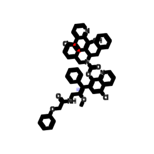 CO/C(CNC(=O)COc1ccccc1)=C(/c1ccccc1)c1cc(Cl)c2cccnc2c1OC(=O)N(Cc1ccccc1)C(Cc1ccccc1)c1cc(Cl)c2cccnc2c1O